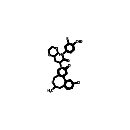 CC1Cc2ccc(Cl)cc2-c2cc(=O)n(C(CC3COCCO3)C(=O)Nc3ccc(C=O)c(F)c3)cc2CO1